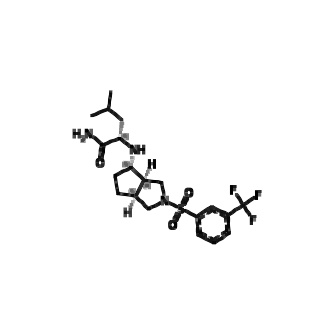 CC(C)C[C@H](N[C@H]1CC[C@@H]2CN(S(=O)(=O)c3cccc(C(F)(F)F)c3)C[C@@H]21)C(N)=O